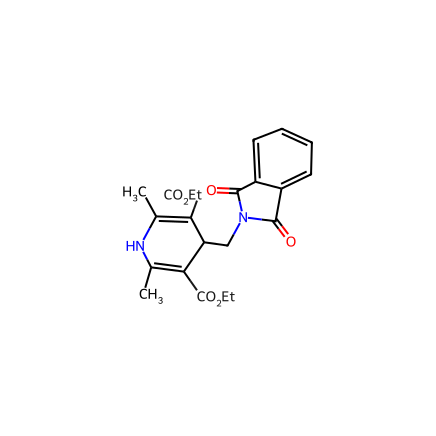 CCOC(=O)C1=C(C)NC(C)=C(C(=O)OCC)C1CN1C(=O)c2ccccc2C1=O